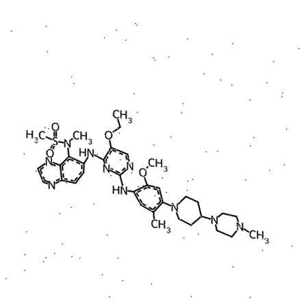 CCOc1cnc(Nc2cc(C)c(N3CCC(N4CCN(C)CC4)CC3)cc2OC)nc1Nc1ccc2nccnc2c1N(C)S(C)(=O)=O